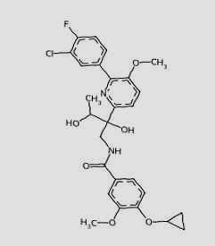 COc1cc(C(=O)NCC(O)(c2ccc(OC)c(-c3ccc(F)c(Cl)c3)n2)C(C)O)ccc1OC1CC1